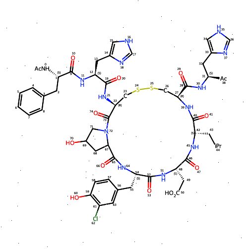 CC(=O)N[C@@H](Cc1ccccc1)C(=O)N[C@@H](Cc1c[nH]cn1)C(=O)N[C@H]1CSSC[C@@H](C(=O)N[C@@H](Cc2c[nH]cn2)C(C)=O)NC(=O)[C@H](CC(C)C)NC(=O)[C@H](CC(=O)O)NC(=O)[C@H](Cc2ccc(O)c(Cl)c2)NC(=O)C2CC(O)CN2C1=O